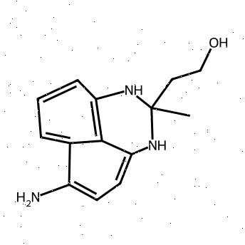 CC1(CCO)Nc2cccc3c(N)ccc(c23)N1